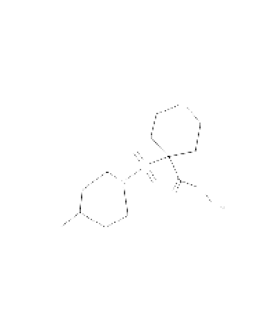 CCCCCCCCC1CCN(S(=O)(=O)C2(C(=O)OC(C)(C)C)CCOCC2)CC1